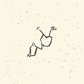 CC(C)(C)C1CCN(Cc2cnco2)CC1F